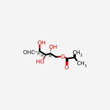 C=C(C)C(=O)OC[C@@H](O)[C@@H](O)[C@@H](O)C=O